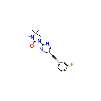 CN1C(=O)N(c2ncc(C#Cc3cccc(F)c3)cn2)CC1(C)C